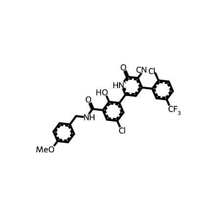 COc1ccc(CNC(=O)c2cc(Cl)cc(-c3cc(-c4cc(C(F)(F)F)ccc4Cl)c(C#N)c(=O)[nH]3)c2O)cc1